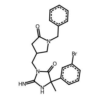 CC1(c2cccc(Br)c2)NC(=N)N(CC2CC(=O)N(Cc3ccccc3)C2)C1=O